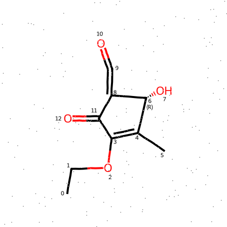 CCOC1=C(C)[C@@H](O)C(=C=O)C1=O